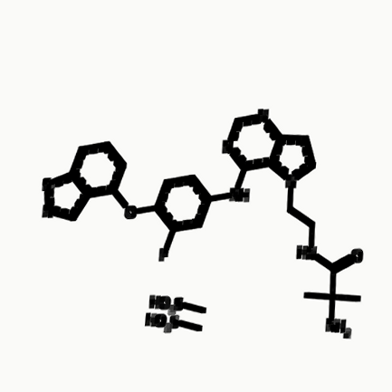 CC(C)(N)C(=O)NCCn1ccc2ncnc(Nc3ccc(Oc4cccc5sncc45)c(F)c3)c21.CS(=O)(=O)O.CS(=O)(=O)O